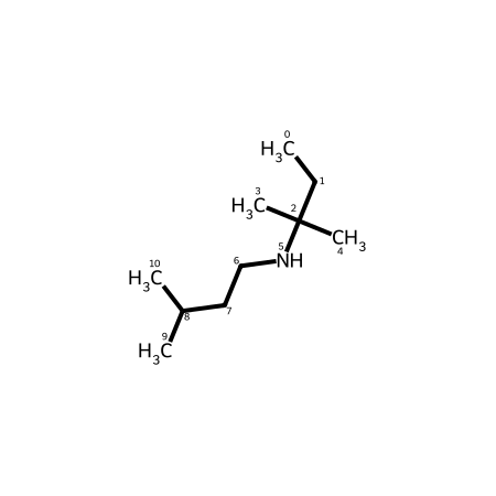 CCC(C)(C)NCCC(C)C